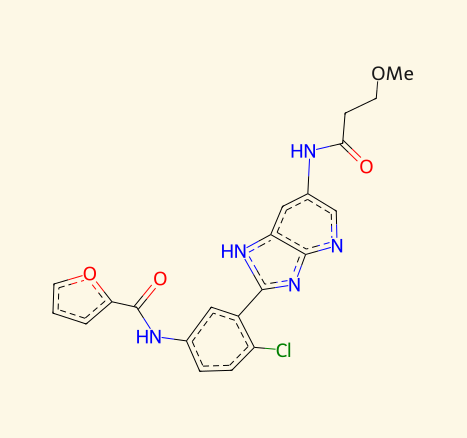 COCCC(=O)Nc1cnc2nc(-c3cc(NC(=O)c4ccco4)ccc3Cl)[nH]c2c1